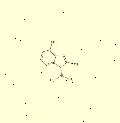 CC1=Cc2c(C)cccc2[CH]1[Hf]([CH3])[CH3]